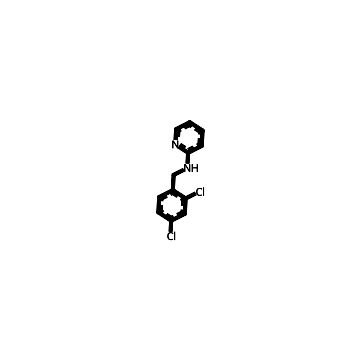 Clc1ccc(CNc2ccccn2)c(Cl)c1